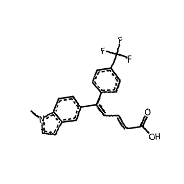 Cn1ccc2cc(C(=CC=CC(=O)O)c3ccc(C(F)(F)F)cc3)ccc21